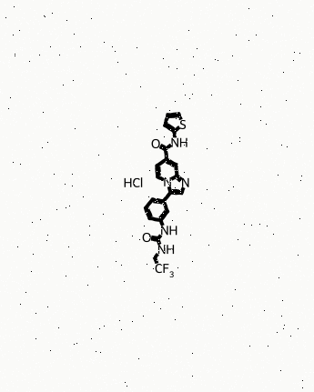 Cl.O=C(NCC(F)(F)F)Nc1cccc(-c2cnc3cc(C(=O)Nc4cccs4)ccn23)c1